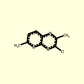 Cc1ccc2nc(C)c(Cl)nc2n1